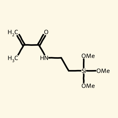 C=C(C)C(=O)NCC[Si](OC)(OC)OC